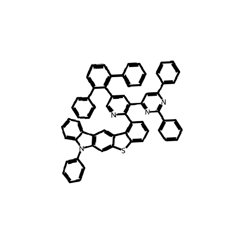 c1ccc(-c2cc(-c3cc(-c4c(-c5ccccc5)cccc4-c4ccccc4)cnc3-c3cccc4sc5cc6c(cc5c34)c3ccccc3n6-c3ccccc3)nc(-c3ccccc3)n2)cc1